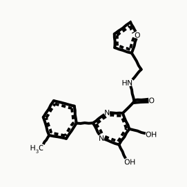 Cc1cccc(-c2nc(O)c(O)c(C(=O)NCc3ccco3)n2)c1